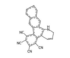 N#Cc1c(C#N)c(C#N)c2c(c1C#N)c1c(c3cc4ccccc4cc32)NCC=C1